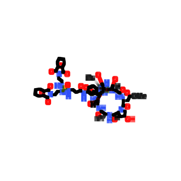 CCC[C@@H]1NC(=O)[C@@H]2C[C@@H](O)CN2C(=O)[C@H](CC(=O)OC)NC(=O)[C@@H]2CSc3[nH]c4ccc(NC(=O)CCNP(=O)(NCCN5C(=O)C6C7C=CC(O7)C6C5=O)NCCN5C(=O)C6C7C=CC(O7)C6C5=O)cc4c3C[C@H](NC1=O)C(=O)NCC(=O)N[C@@H]([C@@H](C)CC)C(=O)NCC(=O)N2